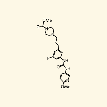 COC(=O)N1CCN(CCCc2cc(F)cc(NC(=O)Nc3ccc(OC)nc3)c2)CC1